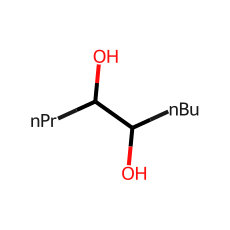 CCCCC(O)C(O)CCC